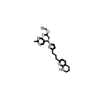 Cc1ncc([C@@H](CC(=O)OC(C)(C)C)n2ccc(CCCc3ccc4c(n3)NCCC4)n2)cn1